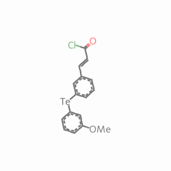 COc1cccc([Te]c2cccc(C=CC(=O)Cl)c2)c1